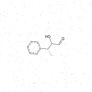 [CH2][C@H](c1ccccc1)C(O)C=O